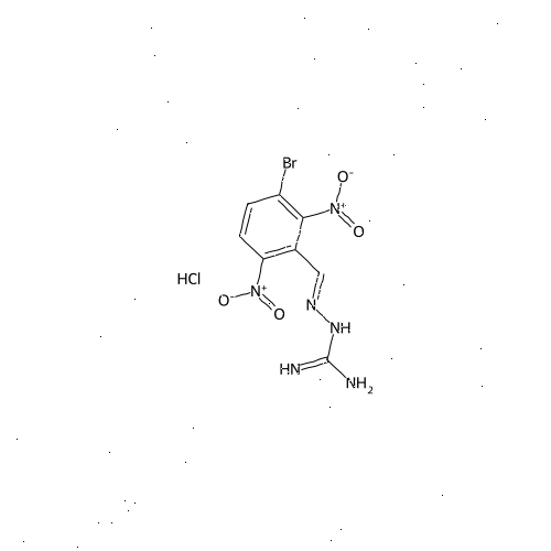 Cl.N=C(N)NN=Cc1c([N+](=O)[O-])ccc(Br)c1[N+](=O)[O-]